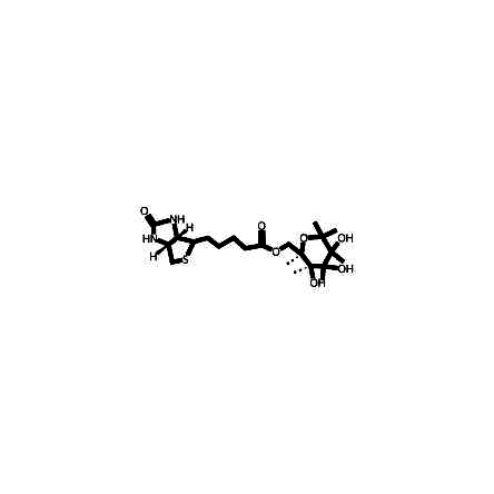 CC1(C)O[C@](C)(COC(=O)CCCCC2SC[C@@H]3NC(=O)N[C@H]23)[C@](C)(O)C(C)(O)C1(C)O